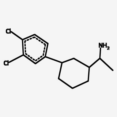 CC(N)C1CCCC(c2ccc(Cl)c(Cl)c2)C1